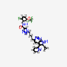 O=C(NCc1cc(OC(F)(F)F)ccc1F)c1cn(CCCCc2cc3c(-c4ccccn4)c(C4CC4)[nH]c3nn2)nn1